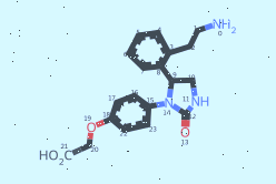 NCCc1ccccc1C1CNC(=O)N1c1ccc(OCC(=O)O)cc1